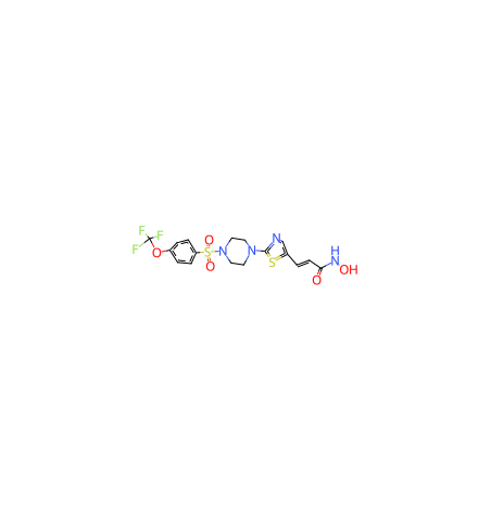 O=C(/C=C/c1cnc(N2CCN(S(=O)(=O)c3ccc(OC(F)(F)F)cc3)CC2)s1)NO